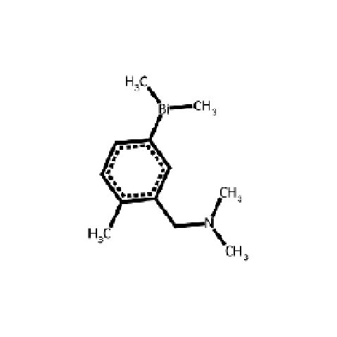 Cc1cc[c]([Bi]([CH3])[CH3])cc1CN(C)C